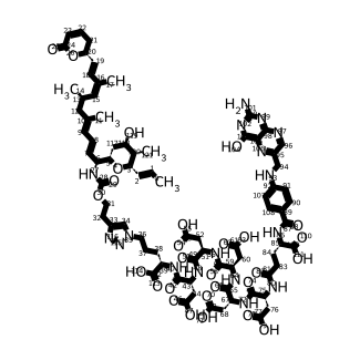 C/C=C/[C@@H]1O[C@H]([C@@H](/C=C/C=C(\C)C[C@@H](C)/C=C(C)\C=C\[C@H]2CC=CC(=O)O2)NC(=O)OCCc2cn(CCC[C@H](NC(=O)[C@@H](CC(=O)O)NC(=O)[C@@H](CC(=O)O)NC(=O)[C@@H](CC(=O)O)NC(=O)[C@@H](CC(=O)O)NC(=O)[C@@H](CC(=O)O)NC(=O)CC[C@H](NC(=O)c3ccc(NCc4cnc5nc(N)nc(O)c5n4)cc3)C(=O)O)C(=O)O)nn2)C[C@@H](O)[C@@H]1C